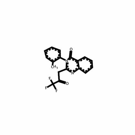 Cc1ccccc1-n1c(CC(=O)C(F)(F)F)nc2ccccc2c1=O